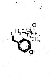 O=Cc1ccccc1.O=[SH2].[CH3][Ti+3][CH3].[Cl-].[Cl-].[Cl-]